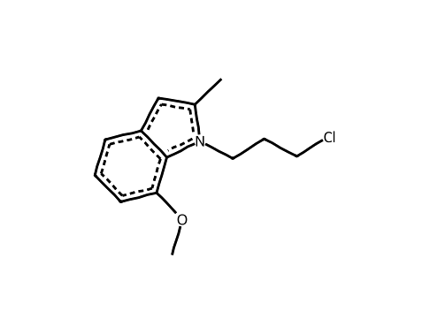 COc1cccc2cc(C)n(CCCCl)c12